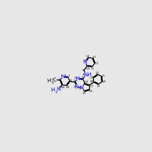 Cc1ncc(-c2nc(NCc3ccccn3)c3c(-c4ccccc4)ccn3n2)cc1N